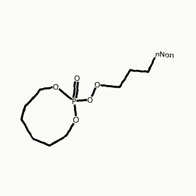 CCCCCCCCCCCCOOP1(=O)OCCCCCCO1